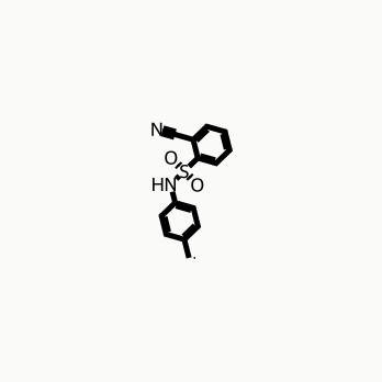 [CH2]c1ccc(NS(=O)(=O)c2ccccc2C#N)cc1